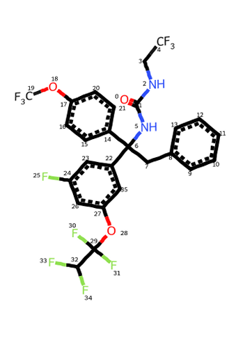 O=C(NCC(F)(F)F)NC(Cc1ccccc1)(c1ccc(OC(F)(F)F)cc1)c1cc(F)cc(OC(F)(F)C(F)F)c1